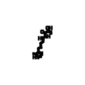 Cc1[nH]cnc1CSCCNNC(=O)C(O)=S